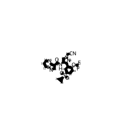 N#CCn1cc(NC(=O)c2cnn3cccnc23)c(-c2cc(S(=O)(=O)C3CC3)ccc2OC(F)F)n1